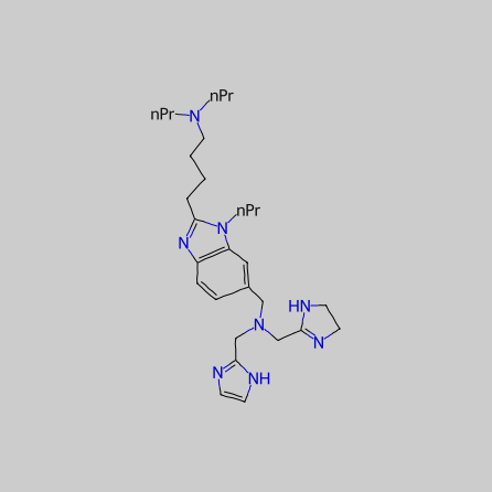 CCCN(CCC)CCCCc1nc2ccc(CN(CC3=NCCN3)Cc3ncc[nH]3)cc2n1CCC